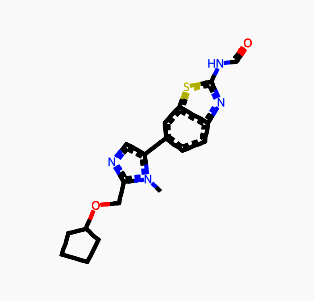 Cn1c(-c2ccc3nc(NC=O)sc3c2)cnc1COC1CCCC1